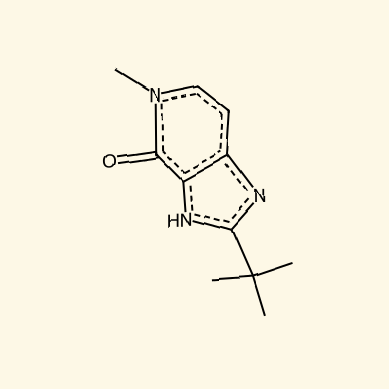 Cn1ccc2nc(C(C)(C)C)[nH]c2c1=O